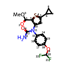 COC(=O)c1sc(C2CC2)cc1N(C(N)=O)c1ccc(OC(F)F)cc1